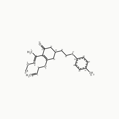 C=CCOC1=C(C(C)=NOCC)C(=O)CC(CCSc2ccc(C(F)(F)F)cc2)C1